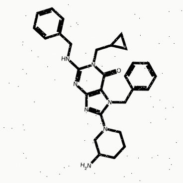 NC1CCCN(c2nc3nc(NCc4ccccc4)n(CC4CC4)c(=O)c3n2Cc2ccccc2)C1